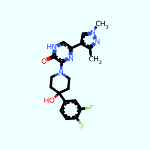 Cc1nn(C)cc1-c1c[nH]c(=O)c(N2CCC(O)(c3ccc(F)c(F)c3)CC2)n1